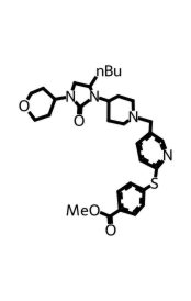 CCCCC1CN(C2CCOCC2)C(=O)N1C1CCN(Cc2ccc(Sc3ccc(C(=O)OC)cc3)nc2)CC1